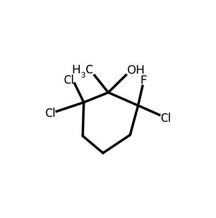 CC1(O)C(F)(Cl)CCCC1(Cl)Cl